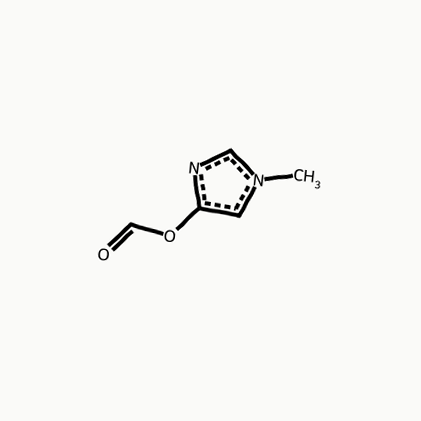 Cn1cnc(OC=O)c1